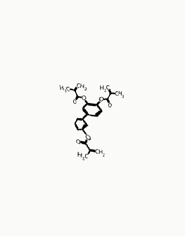 C=C(C)C(=O)Oc1cccc(-c2ccc(OC(=O)C(=C)C)c(OC(=O)C(=C)C)c2)c1